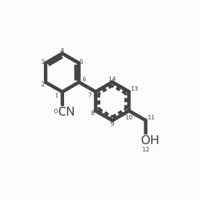 N#CC1CC=CC=C1c1ccc(CO)cc1